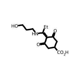 CCC(NCCCO)=C1C(=O)CC(C(=O)O)CC1=O